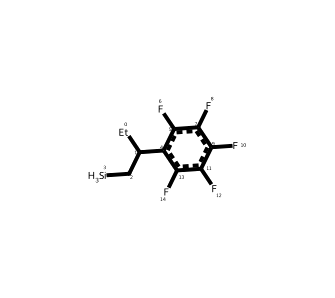 CCC(C[SiH3])c1c(F)c(F)c(F)c(F)c1F